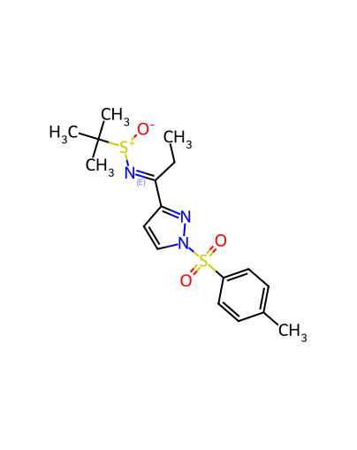 CC/C(=N\[S+]([O-])C(C)(C)C)c1ccn(S(=O)(=O)c2ccc(C)cc2)n1